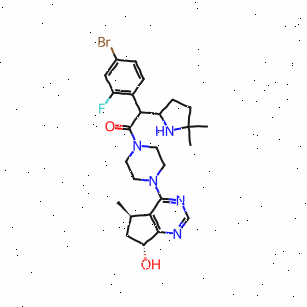 C[C@@H]1C[C@@H](O)c2ncnc(N3CCN(C(=O)C(c4ccc(Br)cc4F)C4CCC(C)(C)N4)CC3)c21